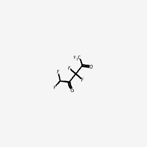 O=C(C(F)F)C(F)(F)C(=O)C(F)(F)F